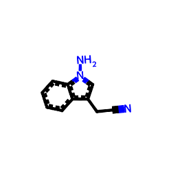 N#CCc1cn(N)c2ccccc12